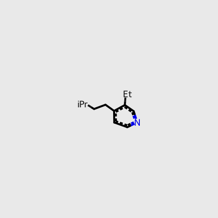 CCc1cnccc1CCC(C)C